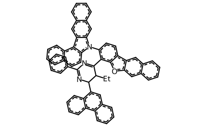 CCC1C(c2c(-n3c4cc5ccccc5cc4c4c5ccccc5ccc43)ccc3c2oc2cc4ccccc4cc23)=NC(c2ccccc2)=NC1c1cc2ccccc2c2ccccc12